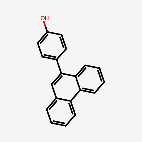 Oc1ccc(-c2cc3ccccc3c3ccccc23)cc1